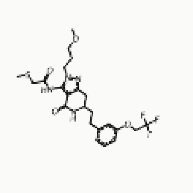 COCCCn1nc2c(c1NC(=O)CSC)C(=O)NC(CCc1cccc(OCC(F)(F)F)c1)C2